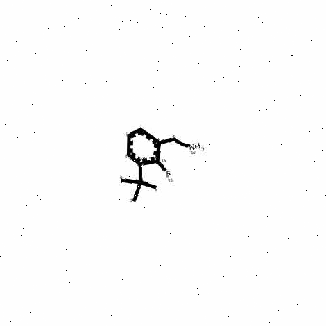 CC(C)(C)c1cccc(CN)c1F